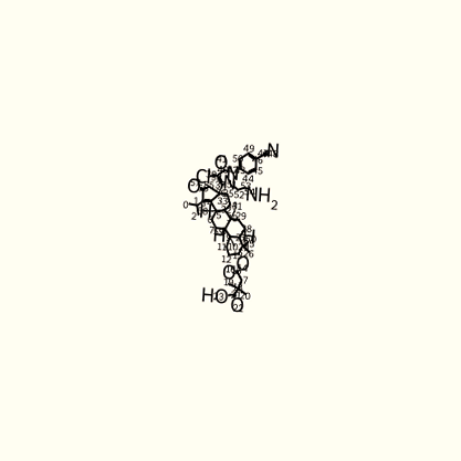 CC(C)C1=C2[C@H]3CC[C@@H]4[C@@]5(C)CC[C@H](OC(=O)CC(C)(C)C(=O)O)C(C)(C)[C@@H]5CC[C@@]4(C)[C@]3(C)CC[C@@]2(c2c(Cl)c(=O)n(-c3ccc(C#N)cc3)n2CCN)CC1=O